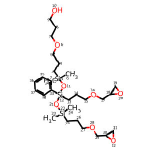 C[Si](C)(CCCOCCCO)O[Si](CCCOCC1CO1)(O[Si](C)(C)CCCOCC1CO1)c1ccccc1